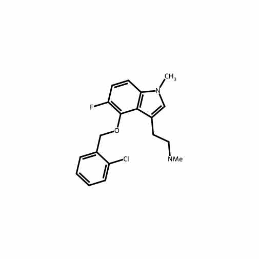 CNCCc1cn(C)c2ccc(F)c(OCc3ccccc3Cl)c12